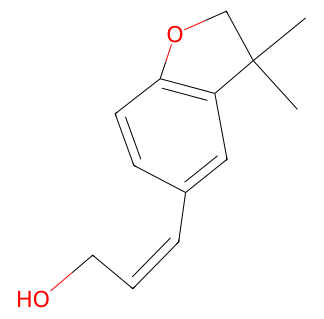 CC1(C)COc2ccc(/C=C\CO)cc21